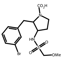 COCS(=O)(=O)NC1CCN(C(=O)O)C1Cc1cccc(Br)c1